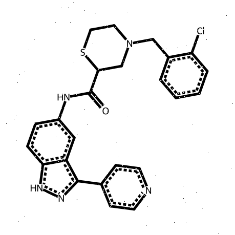 O=C(Nc1ccc2[nH]nc(-c3ccncc3)c2c1)C1CN(Cc2ccccc2Cl)CCS1